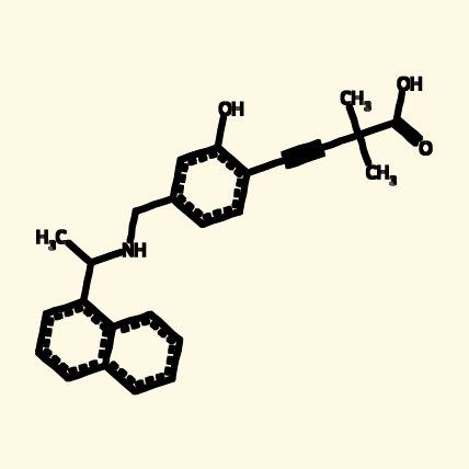 CC(NCc1ccc(C#CC(C)(C)C(=O)O)c(O)c1)c1cccc2ccccc12